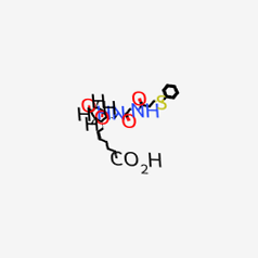 O=C(O)CCC/C=C\C[C@H]1[C@@H](CNC(=O)CNC(=O)CCSc2ccccc2)[C@@H]2O[C@H]1[C@@H]1O[C@@H]12